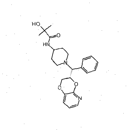 CC(C)(O)C(=O)NC1CCN(C(c2ccccc2)[C@H]2COc3cccnc3O2)CC1